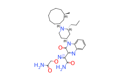 CCC[C@@H]1C[C@H](n2c(=O)c(/C(=N/OCC(N)=O)C(N)=O)nc3ccccc32)CCN1[C@@H]1CCCCCC[C@@H](C)C1